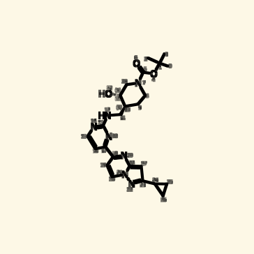 CC(C)(C)OC(=O)N1CC[C@@H](CNc2nccc(-c3ccn4nc(C5CC5)cc4n3)n2)[C@H](O)C1